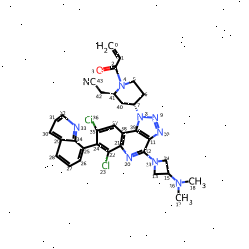 C=CC(=O)N1CC[C@H](n2nnc3c(N4CC(N(C)C)C4)nc4c(Cl)c(-c5cccc6cccnc56)c(Cl)cc4c32)C[C@H]1CC#N